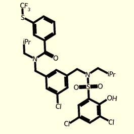 CC(C)CN(Cc1cc(Cl)cc(CN(CC(C)C)S(=O)(=O)c2cc(Cl)cc(Cl)c2O)c1)C(=O)c1cccc(SC(F)(F)F)c1